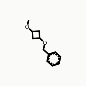 COC1CC(OCc2ccccc2)C1